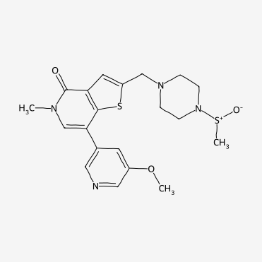 COc1cncc(-c2cn(C)c(=O)c3cc(CN4CCN([S+](C)[O-])CC4)sc23)c1